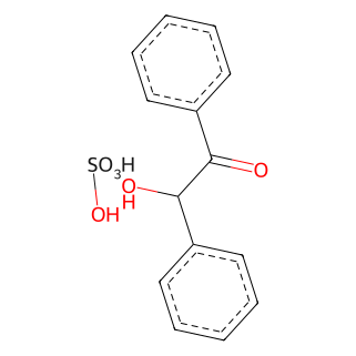 O=C(c1ccccc1)C(O)c1ccccc1.O=S(=O)(O)O